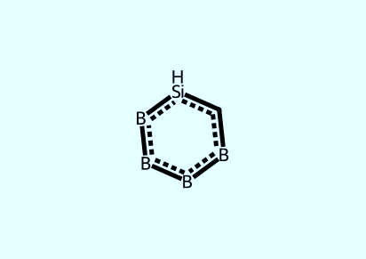 b1bb[siH]cb1